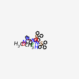 CC/C(=N\OC)[C@@H]1C2CCC(C[C@H]1c1ccc(F)cc1)N2CCCN(CCSC(c1ccccc1)(c1ccccc1)c1ccccc1)CC(=O)NCCSC(c1ccccc1)(c1ccccc1)c1ccccc1